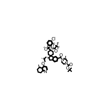 COC(=O)C1(N(C(=O)C(F)(F)F)c2cccc(Cl)c2)CCC2(CC1)c1cc(C(=O)N3CCN(C(=O)OC(C)(C)C)C[C@@H]3C)ccc1C[C@@H]2C[C@@H](C)COc1ccnc2c1[C@H](C)CCC2